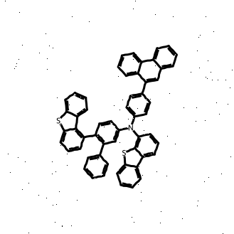 c1ccc(-c2cc(N(c3ccc(-c4cc5ccccc5c5ccccc45)cc3)c3cccc4c3sc3ccccc34)ccc2-c2cccc3sc4ccccc4c23)cc1